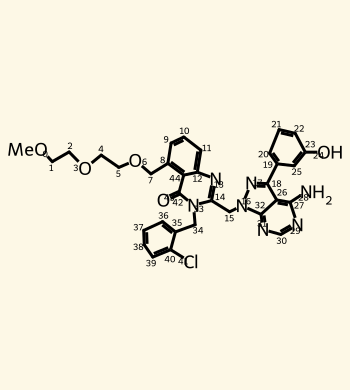 COCCOCCOCc1cccc2nc(Cn3nc(-c4cccc(O)c4)c4c(N)ncnc43)n(Cc3ccccc3Cl)c(=O)c12